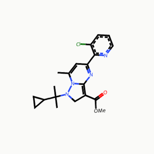 COC(=O)C1=C2N=C(c3ncccc3Cl)C=C(C)N2N(C(C)(C)C2CC2)C1